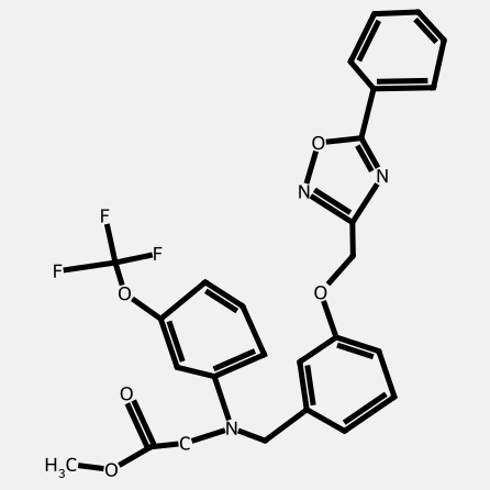 COC(=O)CN(Cc1cccc(OCc2noc(-c3ccccc3)n2)c1)c1cccc(OC(F)(F)F)c1